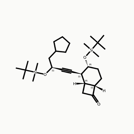 CC(C)(C)[Si](C)(C)O[C@H](C#C[C@@H]1[C@H]2CC(=O)[C@H]2CC[C@H]1O[Si](C)(C)C(C)(C)C)CC1CCCC1